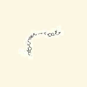 Cn1c2ccncc2c2ccc(-c3ccc(OC4CC5(C4)CN(C(=O)COCCCOC4CN(c6ccc7c(c6)CN(C6CCC(=O)NC6=O)C7)C4)C5)nc3)cc21